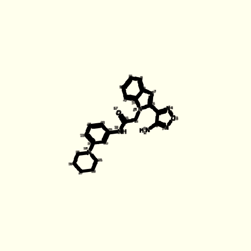 Nc1nonc1-c1nc2ccccc2n1CC(=O)Nc1cccc(N2CCCCC2)c1